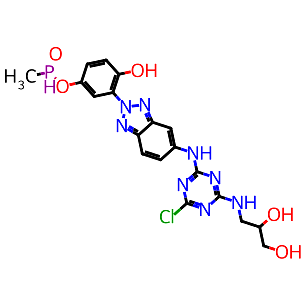 C[PH](=O)Oc1ccc(O)c(-n2nc3ccc(Nc4nc(Cl)nc(NCC(O)CO)n4)cc3n2)c1